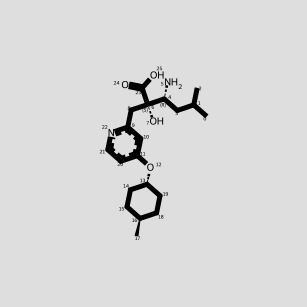 CC(C)C[C@@H](N)[C@@](O)(Cc1cc(O[C@H]2CC[C@H](C)CC2)ccn1)C(=O)O